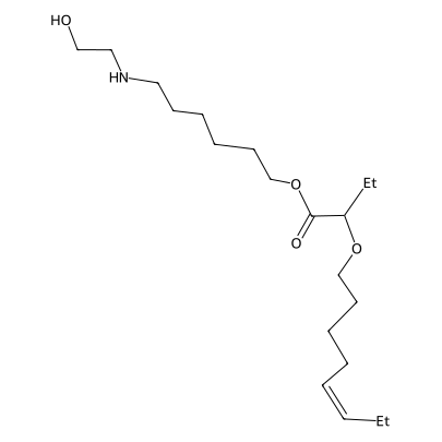 CC/C=C\CCCCOC(CC)C(=O)OCCCCCCNCCO